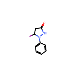 O=C1CC(I)N(c2ccccc2)N1